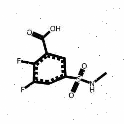 CNS(=O)(=O)c1cc(F)c(F)c(C(=O)O)c1